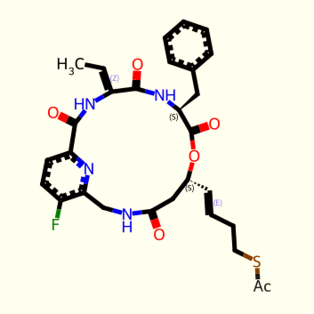 C/C=C1\NC(=O)c2ccc(F)c(n2)CNC(=O)C[C@@H](/C=C/CCSC(C)=O)OC(=O)[C@H](Cc2ccccc2)NC1=O